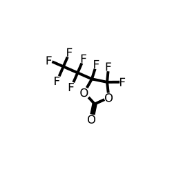 O=C1OC(F)(F)C(F)(C(F)(F)C(F)(F)F)O1